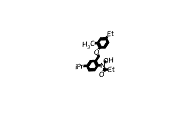 CCC(=O)N(O)c1ccc(C(C)C)cc1COc1ccc(CC)cc1C